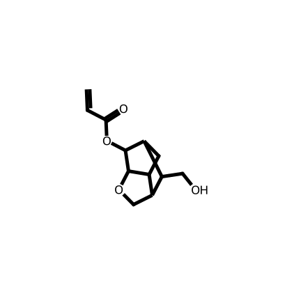 C=CC(=O)OC1C2CC3C(COC31)C2CO